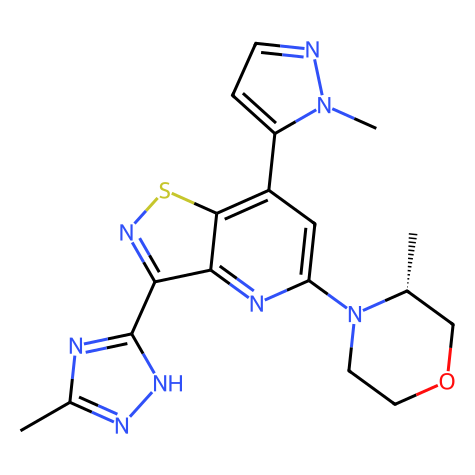 Cc1n[nH]c(-c2nsc3c(-c4ccnn4C)cc(N4CCOC[C@H]4C)nc23)n1